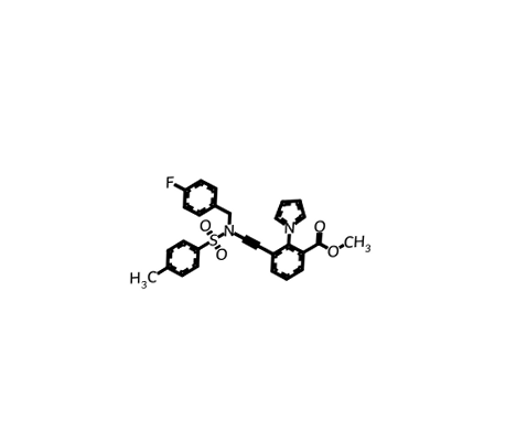 COC(=O)c1cccc(C#CN(Cc2ccc(F)cc2)S(=O)(=O)c2ccc(C)cc2)c1-n1cccc1